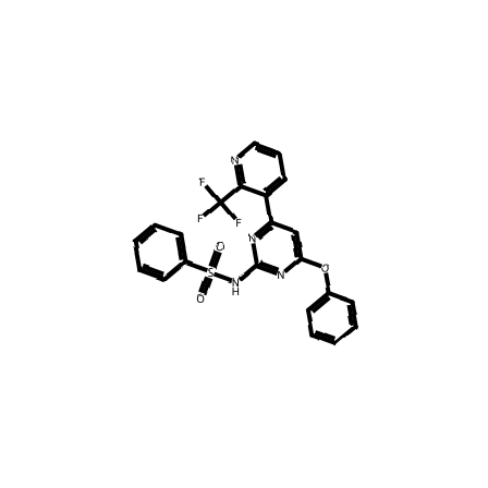 O=S(=O)(Nc1nc(Oc2ccccc2)cc(-c2cccnc2C(F)(F)F)n1)c1ccccc1